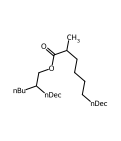 CCCCCCCCCCCCCCC(C)C(=O)OCC(CCCC)CCCCCCCCCC